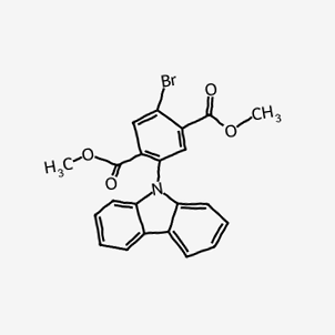 COC(=O)c1cc(-n2c3ccccc3c3ccccc32)c(C(=O)OC)cc1Br